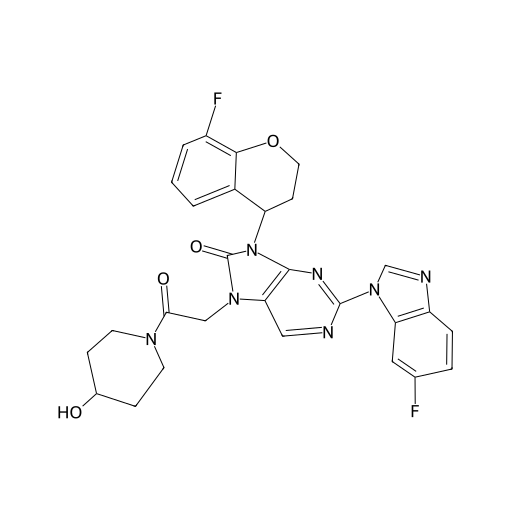 O=C(Cn1c(=O)n(C2CCOc3c(F)cccc32)c2nc(-n3cnc4ccc(F)cc43)ncc21)N1CCC(O)CC1